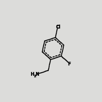 NCc1ccc(Cl)cc1F